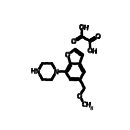 COCc1cc(N2CCNCC2)c2occc2c1.O=C(O)C(=O)O